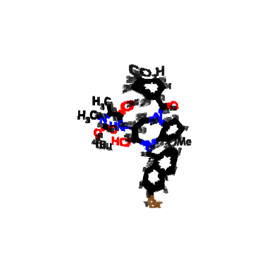 COc1ccc2cc(Br)ccc2c1CN1c2ccccc2N(C(=O)c2ccc(C(=O)O)cc2)C[C@H](NC(=O)C(C)N(C)C(=O)OC(C)(C)C)C1O